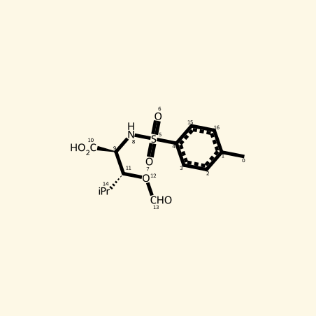 Cc1ccc(S(=O)(=O)N[C@H](C(=O)O)[C@H](OC=O)C(C)C)cc1